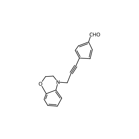 O=Cc1ccc(C#CCN2CCOc3ccccc32)cc1